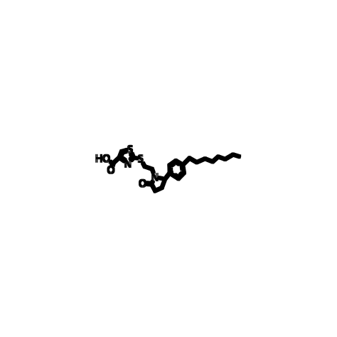 CCCCCCCCc1ccc(C2CCC(=O)N2CCSc2nc(C(=O)O)cs2)cc1